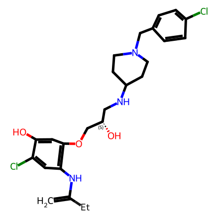 C=C(CC)Nc1cc(Cl)c(O)cc1OC[C@@H](O)CNC1CCN(Cc2ccc(Cl)cc2)CC1